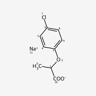 CC(Oc1ccc(Cl)cc1)C(=O)[O-].[Na+]